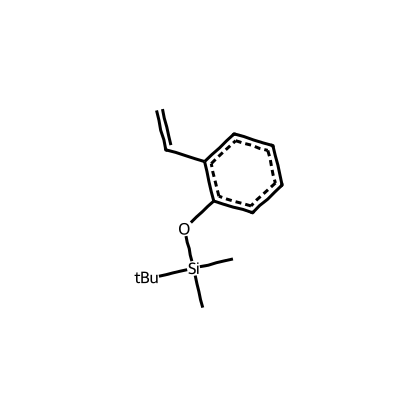 C=Cc1ccccc1O[Si](C)(C)C(C)(C)C